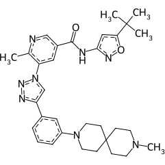 Cc1ncc(C(=O)Nc2cc(C(C)(C)C)on2)cc1-n1cc(-c2cccc(N3CCC4(CCN(C)CC4)CC3)c2)nn1